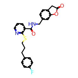 O=C1Cc2ccc(CNC(=O)c3cccnc3SCCCc3ccc(F)cc3)cc2O1